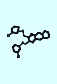 Clc1cccc(SCc2nc3cc4ccccc4cc3nc2CSc2cccc(Cl)c2)c1